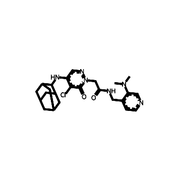 CN(C)c1cnccc1CNC(=O)Cn1ncc(NC2C3CC4CC(C3)CC2C4)c(Cl)c1=O